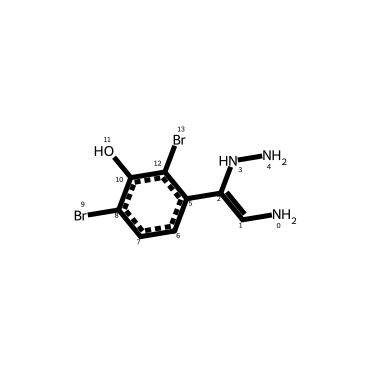 N/C=C(\NN)c1ccc(Br)c(O)c1Br